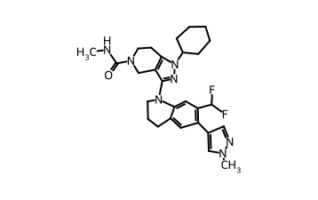 CNC(=O)N1CCc2c(c(N3CCCc4cc(-c5cnn(C)c5)c(C(F)F)cc43)nn2C2CCCCC2)C1